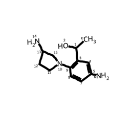 CC(O)c1cc(N)ccc1N1CCC(N)C1